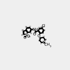 CN1CCC(Oc2ccc(Cl)cc2C(=O)Nc2ccc3c(c2)S(=O)(=O)C=C3)CC1